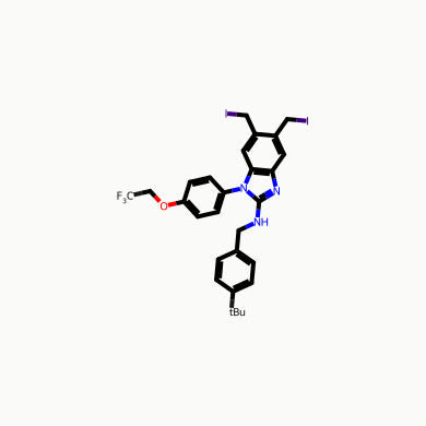 CC(C)(C)c1ccc(CNc2nc3cc(CI)c(CI)cc3n2-c2ccc(OCC(F)(F)F)cc2)cc1